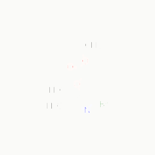 CCOC(=O)COc1cc(Br)ncc1C(C)C